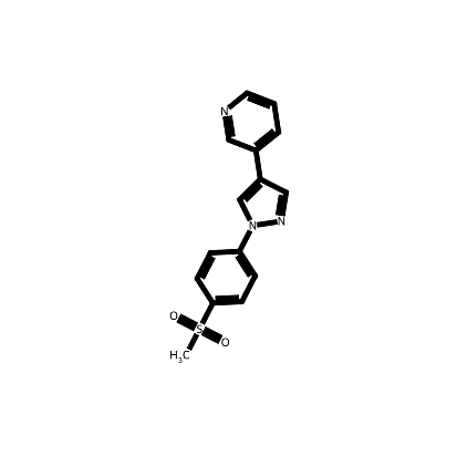 CS(=O)(=O)c1ccc(-n2cc(-c3cccnc3)cn2)cc1